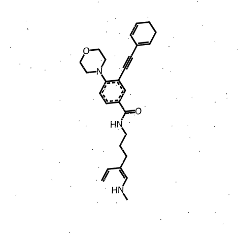 C=C/C(=C\NC)CCCNC(=O)c1ccc(N2CCOCC2)c(C#CC2=CCCC=C2)c1